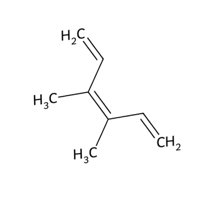 C=C/C(C)=C(/C)C=C